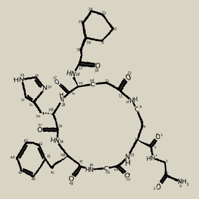 NC(=O)CNC(=O)[C@@H]1CCNC(=O)CC[C@H](NC(=O)CC2CCCCC2)C(=O)N[C@@H](Cc2c[nH]cn2)C(=O)N[C@H](Cc2ccccc2)C(=O)NCC(=O)N1